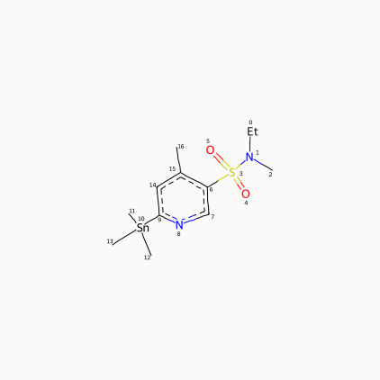 CCN(C)S(=O)(=O)c1cn[c]([Sn]([CH3])([CH3])[CH3])cc1C